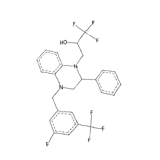 OC(CN1c2ccccc2N(Cc2cc(F)cc(C(F)(F)F)c2)CC1c1ccccc1)C(F)(F)F